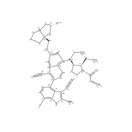 C=CC(=O)N1CC[C@@H](N(CC)c2nc(OC[C@@]34CCCN3C[C@H](F)C4)nc3c(C#N)c(-c4ccc(F)c5sc(N)c(C#N)c45)ccc23)[C@H]1CC